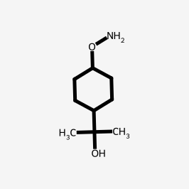 CC(C)(O)C1CCC(ON)CC1